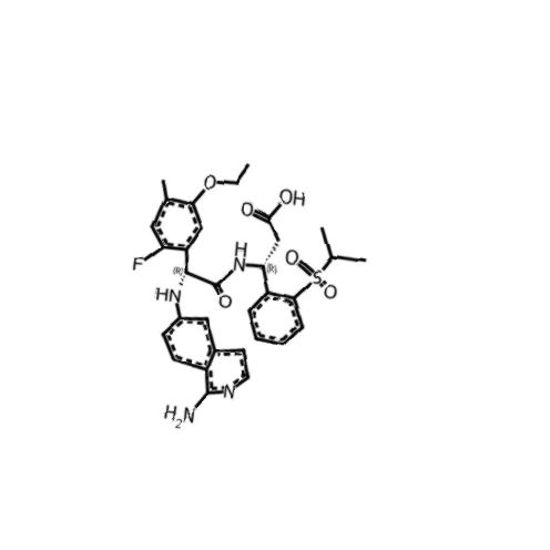 CCOc1cc([C@@H](Nc2ccc3c(N)nccc3c2)C(=O)N[C@H](CC(=O)O)c2ccccc2S(=O)(=O)C(C)C)c(F)cc1C